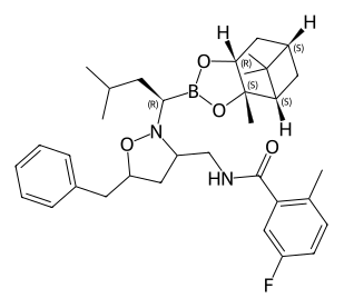 Cc1ccc(F)cc1C(=O)NCC1CC(Cc2ccccc2)ON1[C@@H](CC(C)C)B1O[C@@H]2C[C@@H]3C[C@@H](C3(C)C)[C@]2(C)O1